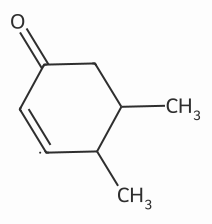 CC1[C]=CC(=O)CC1C